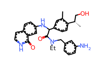 CCN(Cc1cccc(N)c1)C(=O)C(Nc1ccc2cc[nH]c(=O)c2c1)c1ccc([C@@H](C)CO)c(C)c1